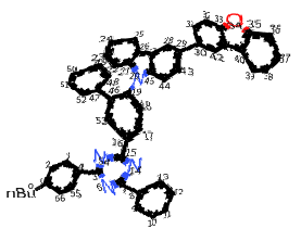 CCCCc1ccc(-c2nc(-c3ccccc3)nc(-c3ccc(-n4c5ccccc5c5cc(-c6ccc7oc8ccccc8c7c6)ccc54)c(-c4ccccc4)c3)n2)cc1